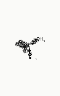 Cc1ccc(-c2ccc(CCc3cc(CCc4ccc(-c5ccc(C)cn5)cc4)cc(-c4ccccc4-c4cnc(-c5ccccc5)cc4-c4ccc5c6ccccc6c6ccccc6c5c4)c3)cc2)nc1